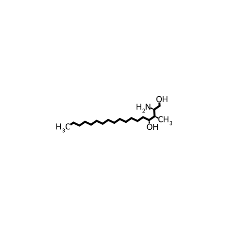 CCCCCCCCCCCCCC[C@H](O)[C@H](C)[C@@H](N)CO